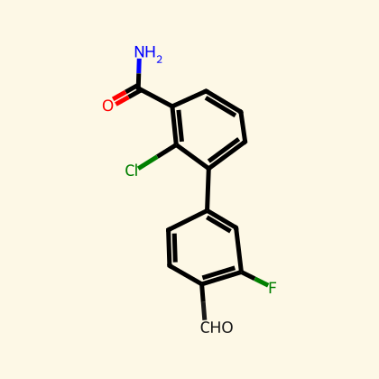 NC(=O)c1cccc(-c2ccc(C=O)c(F)c2)c1Cl